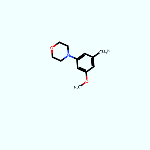 O=C(O)c1cc(OC(F)(F)F)cc(N2CCOCC2)c1